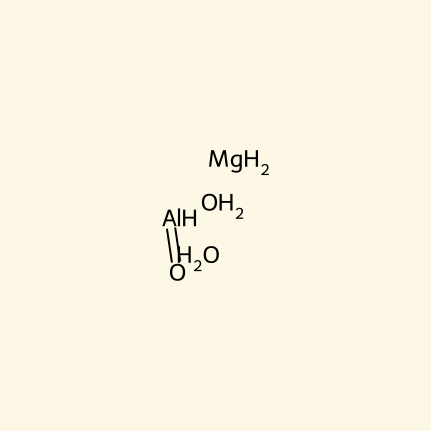 O.O.[MgH2].[O]=[AlH]